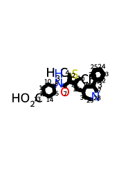 Cc1sc(C)c(C(=O)NC2CCC(C(=O)O)CC2)c1CC1C=C(c2ccccc2)C=NCC1